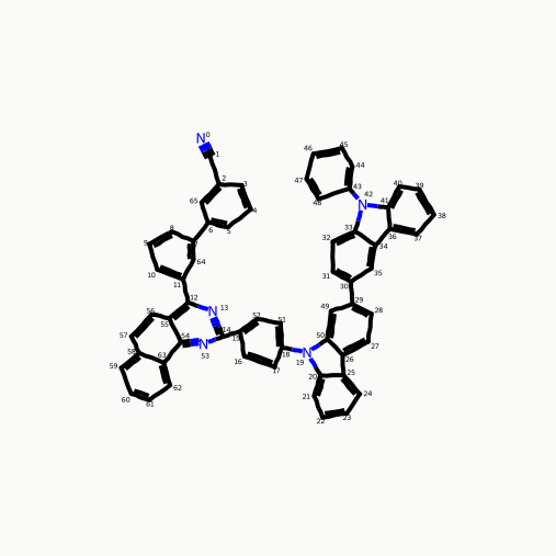 N#Cc1cccc(-c2cccc(-c3nc(-c4ccc(-n5c6ccccc6c6ccc(-c7ccc8c(c7)c7ccccc7n8-c7ccccc7)cc65)cc4)nc4c3ccc3ccccc34)c2)c1